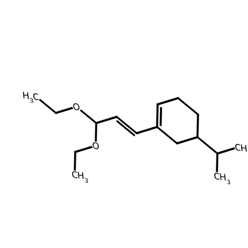 CCOC(C=CC1=CCCC(C(C)C)C1)OCC